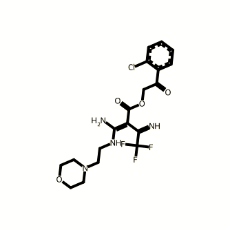 N=C(/C(C(=O)OCC(=O)c1ccccc1Cl)=C(/N)NCCN1CCOCC1)C(F)(F)F